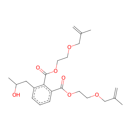 C=C(C)COCCOC(=O)c1cccc(CC(C)O)c1C(=O)OCCOCC(=C)C